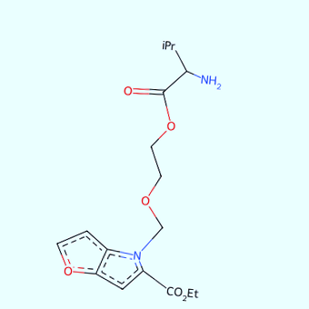 CCOC(=O)c1cc2occc2n1COCCOC(=O)C(N)C(C)C